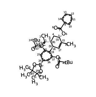 C=C(C)[C@@H]1C[C@H](OC(=O)c2ccccc2)C(C)=C[C@H]1c1c(OC(=O)C(C)(C)C)cc(B2OC(C)(C)C(C)(C)O2)cc1OC(=O)C(C)(C)C